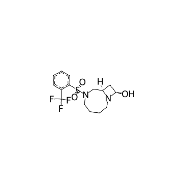 O=S(=O)(c1ccccc1C(F)(F)F)N1CCCCN2[C@H](C[C@H]2O)C1